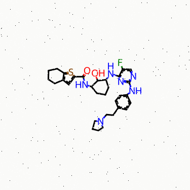 O=C(NC1CCCC(Nc2nc(Nc3ccc(CCN4CCCC4)cc3)ncc2F)C1O)c1cc2c(s1)CCCC2